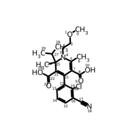 COCCN1C(C)=C(C(=O)O)C(c2cccc(C#N)c2Cl)=C(C(=O)O)C1(C)C(C)C